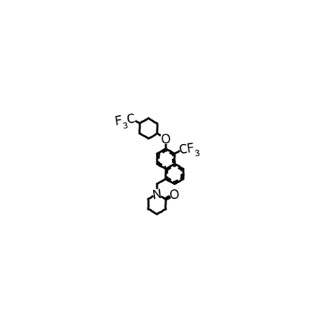 O=C1CCCCN1Cc1cccc2c(C(F)(F)F)c(OC3CCC(C(F)(F)F)CC3)ccc12